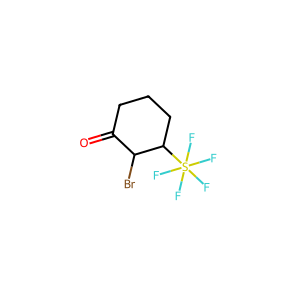 O=C1CCCC(S(F)(F)(F)(F)F)C1Br